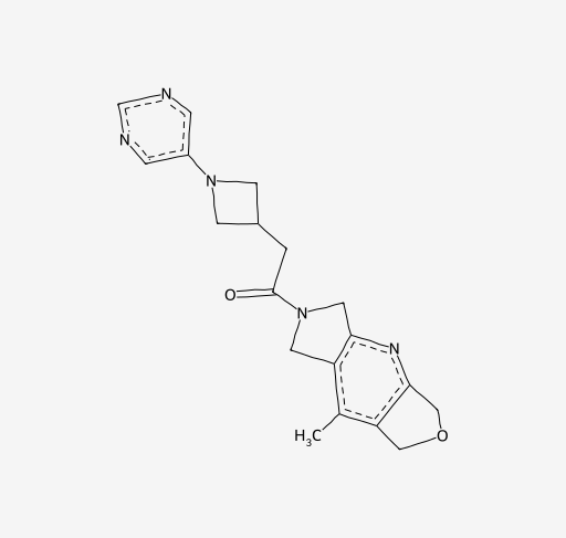 Cc1c2c(nc3c1CN(C(=O)CC1CN(c4cncnc4)C1)C3)COC2